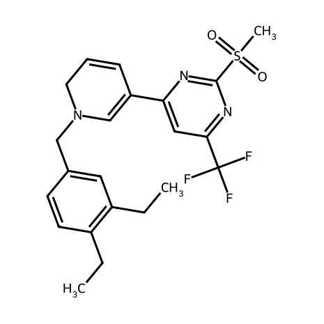 CCc1ccc(CN2C=C(c3cc(C(F)(F)F)nc(S(C)(=O)=O)n3)C=CC2)cc1CC